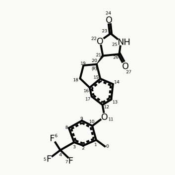 Cc1cc(C(F)(F)F)ccc1Oc1ccc2c(c1)CC[C@H]2C1OC(=O)NC1=O